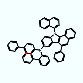 c1ccc(-c2ccc(N(c3ccc4c(c3)c3c(-c5ccccc5)cc5ccccc5c3n4-c3cccc4ccccc34)c3ccccc3-c3ccccc3)cc2)cc1